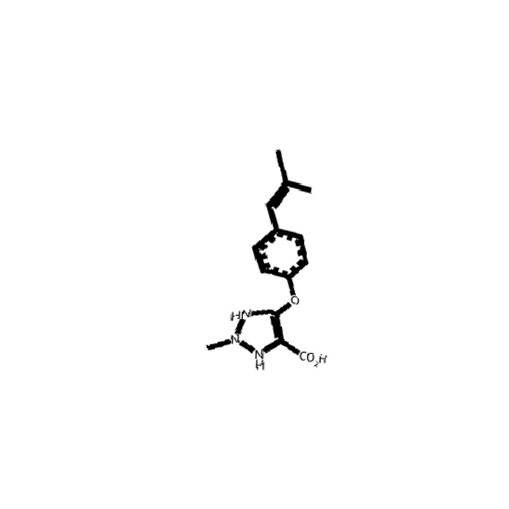 CC(C)=Cc1ccc(OC2=C(C(=O)O)NN(C)N2)cc1